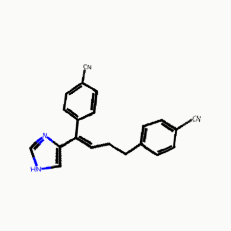 N#Cc1ccc(CC/C=C(\c2ccc(C#N)cc2)c2c[nH]cn2)cc1